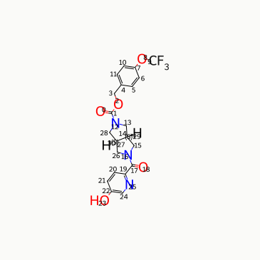 O=C(OCc1ccc(OC(F)(F)F)cc1)N1C[C@@H]2CN(C(=O)c3ccc(O)cn3)C[C@H]2C1